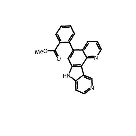 COC(=O)c1ccccc1-c1cc2[nH]c3ccncc3c2c2ncccc12